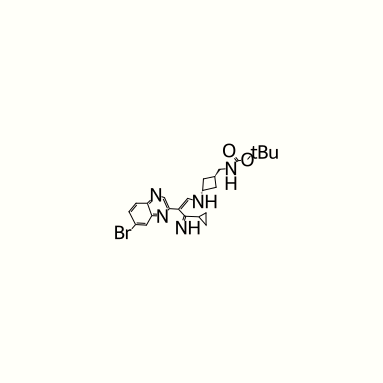 CC(C)(C)OC(=O)NC[C@H]1C[C@H](N/C=C(\C(=N)C2CC2)c2cnc3ccc(Br)cc3n2)C1